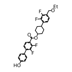 CCOCc1ccc(C2CCC(OC(=O)c3ccc(-c4ccc(O)cc4)c(F)c3F)CC2)c(F)c1F